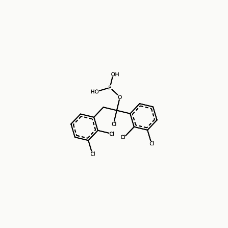 OP(O)OC(Cl)(Cc1cccc(Cl)c1Cl)c1cccc(Cl)c1Cl